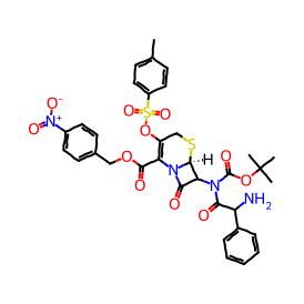 Cc1ccc(S(=O)(=O)OC2=C(C(=O)OCc3ccc([N+](=O)[O-])cc3)N3C(=O)C(N(C(=O)OC(C)(C)C)C(=O)C(N)c4ccccc4)[C@@H]3SC2)cc1